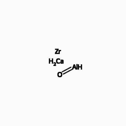 [CaH2].[O]=[AlH].[Zr]